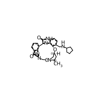 C[C@@H]1C[C@H]2CN1CCn1[nH]c3c(cccc3c1=O)-c1nc3c(c(CNC4CCCC4)ccc3[nH]c1=O)O2